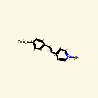 CC(C)[n+]1ccc(/C=C/c2ccc(C=O)cc2)cc1